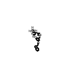 Nc1cc(Cc2cnn(Cc3cccc(OCCC4CCc5ccccc54)c3)c2)c2c(n1)NNN2